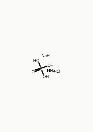 Cl.O=P(O)(O)O.[NaH].[NaH]